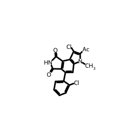 CC(=O)c1c(Cl)c2c3c(c(-c4ccccc4Cl)cc2n1C)C(=O)NC3=O